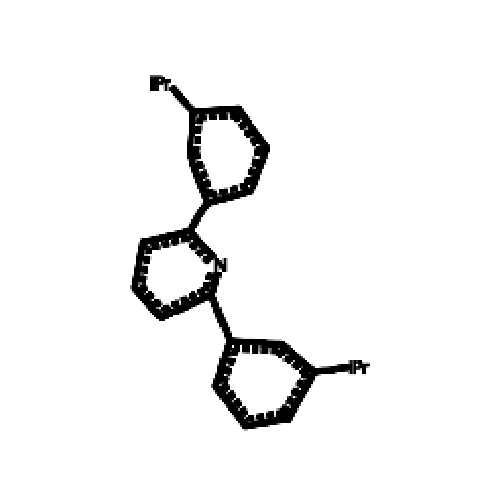 CC(C)c1cccc(-c2cccc(-c3cccc(C(C)C)c3)n2)c1